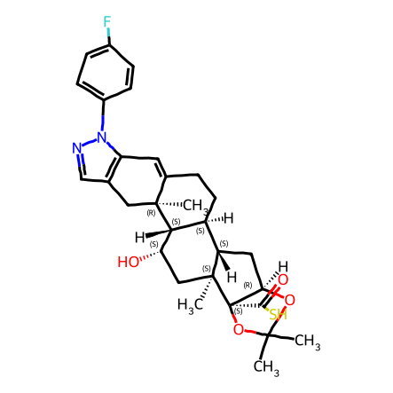 CC1(C)O[C@@H]2C[C@H]3[C@@H]4CCC5=Cc6c(cnn6-c6ccc(F)cc6)C[C@]5(C)[C@H]4[C@@H](O)C[C@]3(C)[C@]2(C(=O)S)O1